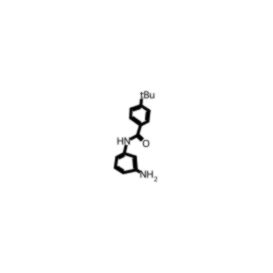 CC(C)(C)c1ccc(C(=O)Nc2cccc(N)c2)cc1